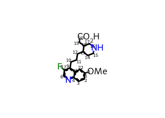 COc1ccc2ncc(F)c(CCCC3CCNCC3CC(=O)O)c2c1